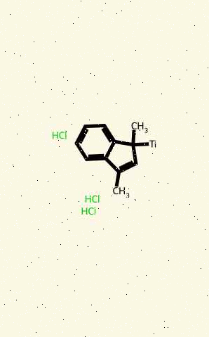 CC1=C[C](C)([Ti])c2ccccc21.Cl.Cl.Cl